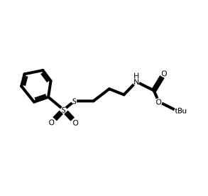 CC(C)(C)OC(=O)NCCCSS(=O)(=O)c1ccccc1